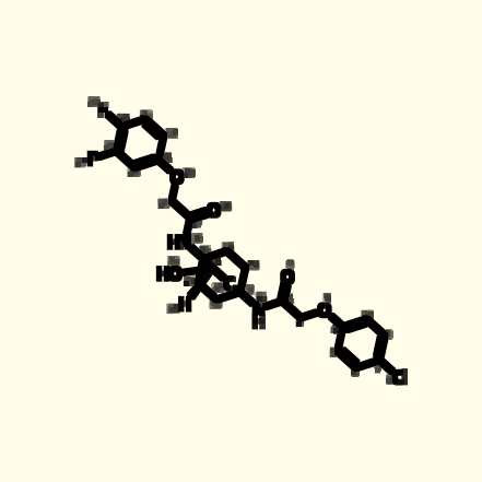 O=C(COc1ccc(Cl)cc1)NC12CCC(NC(=O)COc3ccc(F)c(F)c3)(CC1)[C@@H](O)C2